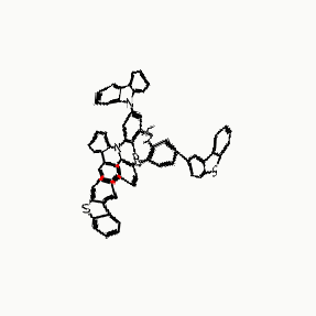 c1ccc(-c2ccccc2N2c3cc(-c4ccc5sc6ccccc6c5c4)ccc3B3c4ccc(-c5ccc6sc7ccccc7c6c5)cc4Sc4cc(-n5c6ccccc6c6ccccc65)cc2c43)cc1